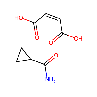 NC(=O)C1CC1.O=C(O)/C=C\C(=O)O